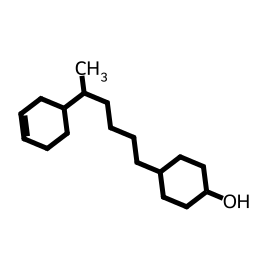 CC(CCCCC1CCC(O)CC1)C1CC=CCC1